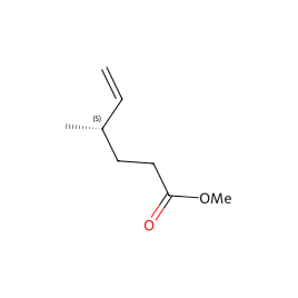 C=C[C@@H](C)CCC(=O)OC